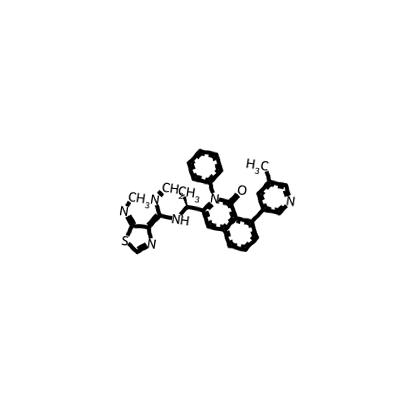 C=N/C(N[C@@H](C)c1cc2cccc(-c3cncc(C)c3)c2c(=O)n1-c1ccccc1)=C1/N=CS/C1=N/C